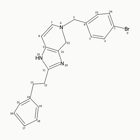 Brc1ccc(CN2C=Cc3[nH]c(CCc4ccccc4)nc3C2)cc1